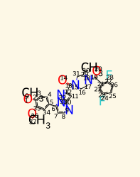 COc1ccc(-c2ccnc3cc(C(=O)N4CCN(C(=O)c5cc(F)ccc5F)C(C)C4)nn23)cc1OC